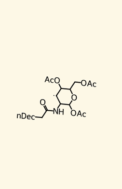 CCCCCCCCCCCC(=O)NC1[CH]C(OC(C)=O)C(COC(C)=O)OC1OC(C)=O